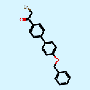 O=C(CBr)c1ccc(-c2ccc(OCc3ccccc3)cc2)cc1